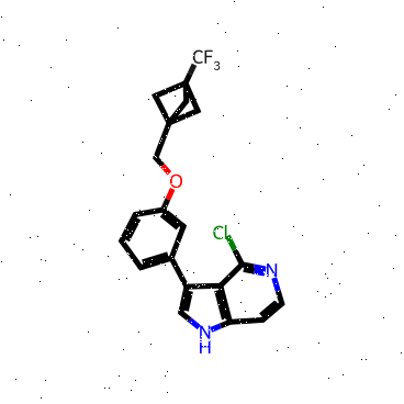 FC(F)(F)C12CC(COc3cccc(-c4c[nH]c5ccnc(Cl)c45)c3)(C1)C2